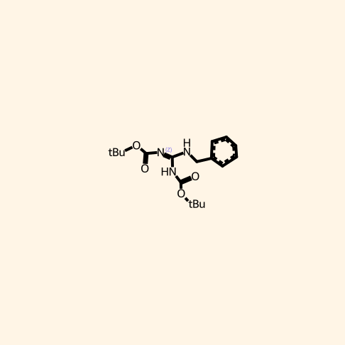 CC(C)(C)OC(=O)/N=C(/NCc1ccccc1)NC(=O)OC(C)(C)C